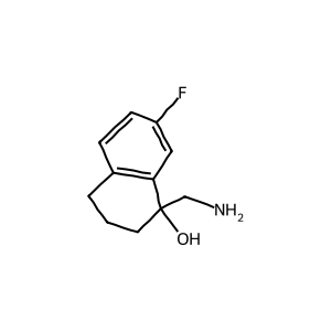 NCC1(O)CCCc2ccc(F)cc21